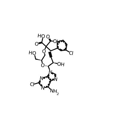 C#C[C@@H](O)[C@@H](O[C@@H](CO)COC(Cc1cccc(Cl)c1)(C(=O)O)C(=O)O)n1cnc2c(N)nc(Cl)nc21